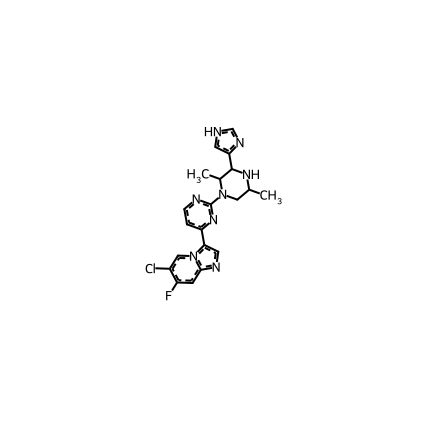 CC1CN(c2nccc(-c3cnc4cc(F)c(Cl)cn34)n2)C(C)C(c2c[nH]cn2)N1